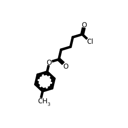 Cc1ccc(OC(=O)CCCC(=O)Cl)cc1